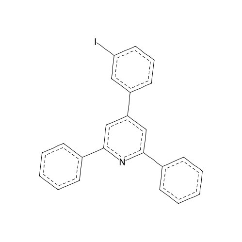 Ic1cccc(-c2cc(-c3ccccc3)nc(-c3ccccc3)c2)c1